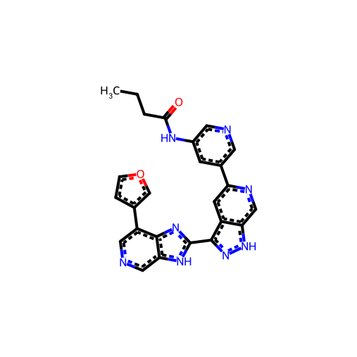 CCCC(=O)Nc1cncc(-c2cc3c(-c4nc5c(-c6ccoc6)cncc5[nH]4)n[nH]c3cn2)c1